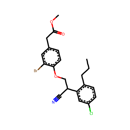 CCCc1ccc(Cl)cc1C(C#N)COc1ccc(CC(=O)OC)cc1Br